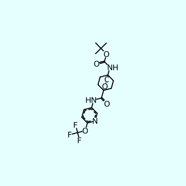 CC(C)(C)OC(=O)NC12CCC(C(=O)Nc3ccc(OC(F)(F)F)nc3)(CC1)OC2